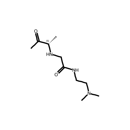 CC(=O)[C@H](C)NCC(=O)NCCN(C)C